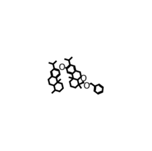 CC(C)c1cc2c(cc1Oc1cc3c(cc1C(C)C)CCC1C(C)(C(=O)OCc4ccccc4)CCCC31C)C1(C)CCCC(C)C1CC2